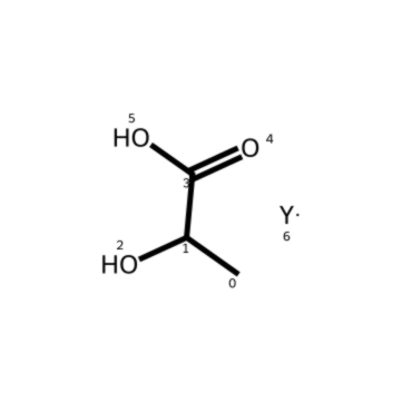 CC(O)C(=O)O.[Y]